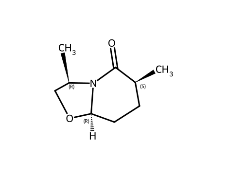 C[C@@H]1CO[C@@H]2CC[C@H](C)C(=O)N12